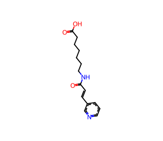 O=C(O)CCCCCCNC(=O)C=Cc1cccnc1